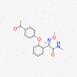 CNC(=O)/C(=N\OC)c1ccccc1Oc1ccc(C(C)=O)cc1